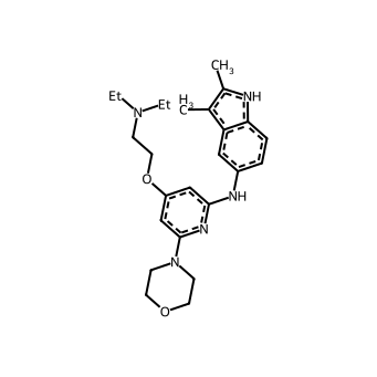 CCN(CC)CCOc1cc(Nc2ccc3[nH]c(C)c(C)c3c2)nc(N2CCOCC2)c1